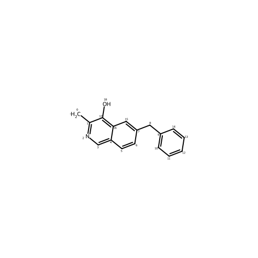 [CH2]c1ncc2ccc(Cc3ccccc3)cc2c1O